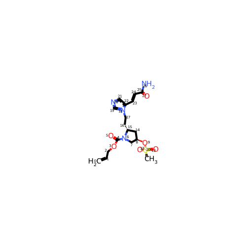 C=CCOC(=O)N1C[C@H](OS(C)(=O)=O)C[C@H]1CCn1cncc1C=CC(N)=O